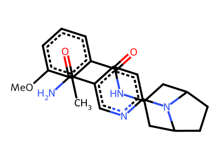 COc1cccc(C(=O)NC2CC3CCC(C2)N3c2ccc(C(N)=O)cn2)c1C